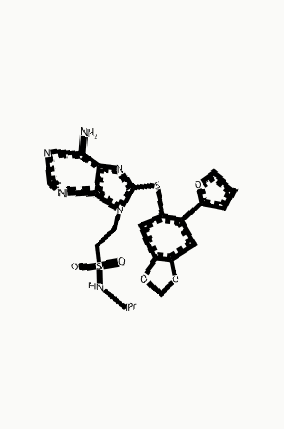 CC(C)NS(=O)(=O)CCn1c(Sc2cc3c(cc2-c2ccco2)OCO3)nc2c(N)ncnc21